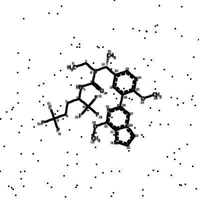 CCN(C(=O)NC(CCC(F)(F)F)C(F)(F)F)[C@H](C)c1cnc(OC)c(-c2cn3ccnc3c(OC)n2)c1